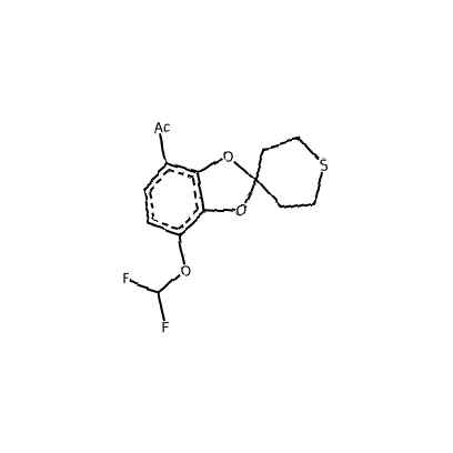 CC(=O)c1ccc(OC(F)F)c2c1OC1(CCSCC1)O2